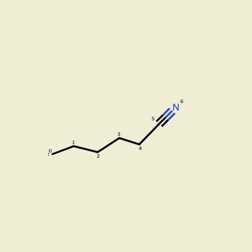 [CH]CCCCC#N